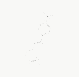 CCC(C=Cc1ccc(C(C)C)cc1)OC(C)=O